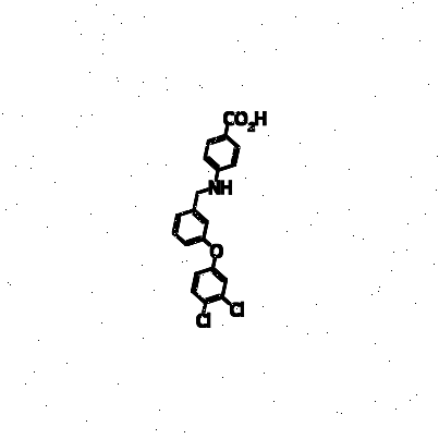 O=C(O)c1ccc(NCc2cccc(Oc3ccc(Cl)c(Cl)c3)c2)cc1